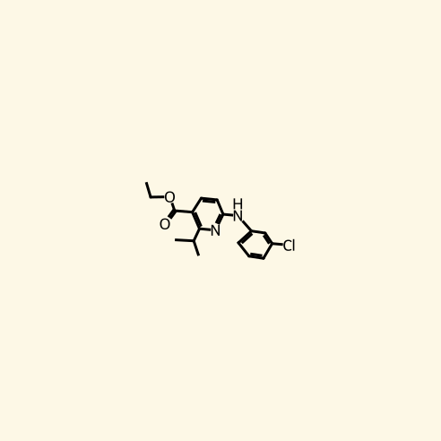 CCOC(=O)c1ccc(Nc2cccc(Cl)c2)nc1C(C)C